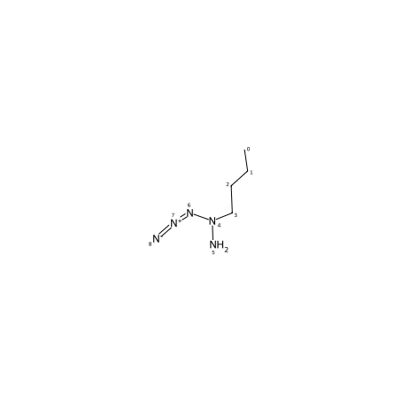 CCCCN(N)N=[N+]=[N-]